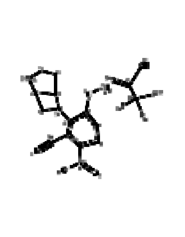 COc1ccc([N+](=O)[O-])c(C#N)c1N1CC2NCCC21.O=C(O)C(F)(F)F